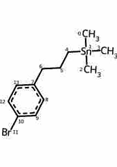 [CH3][Sn]([CH3])([CH3])[CH2]CCc1ccc(Br)cc1